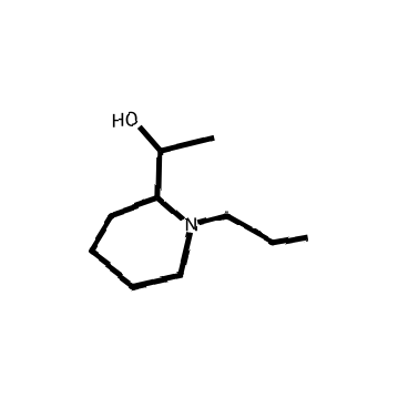 CC[CH]N1CCCCC1C(C)O